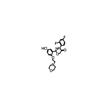 Cl.O=C1COC(c2ccccc2OCCN2CCOCC2)=NN1c1ccc(F)cc1F